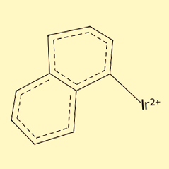 [Ir+2][c]1cccc2ccccc12